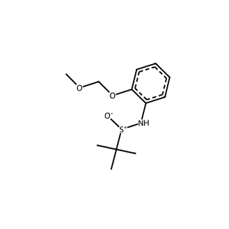 COCOc1ccccc1N[S+]([O-])C(C)(C)C